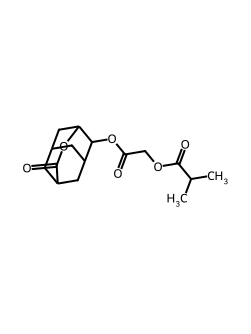 CC(C)C(=O)OCC(=O)OC1C2CC3CC(C2)C(=O)OC1C3